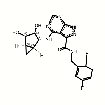 O=C(NCC1=CC(F)=CCC1F)c1n[nH]c2ncnc(N[C@H]3[C@H](O)[C@H](O)[C@@H]4C[C@@H]43)c12